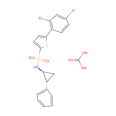 O=C(O)O.O=S(=O)(N[C@H]1C[C@@H]1c1ccccc1)c1ccc(-c2ccc(Cl)cc2Cl)s1